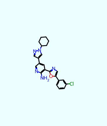 Nc1ncc(-c2cnn(C3CCCCC3)c2)cc1-c1ncc(-c2cccc(Cl)c2)o1